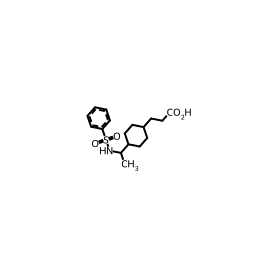 CC(NS(=O)(=O)c1ccccc1)C1CCC(CCC(=O)O)CC1